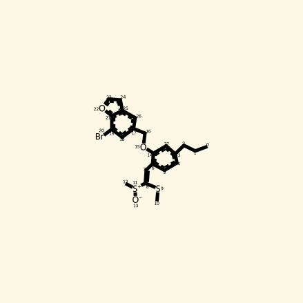 CCCc1ccc(/C=C(\SC)[S+](C)[O-])c(OCc2cc(Br)c3occc3c2)c1